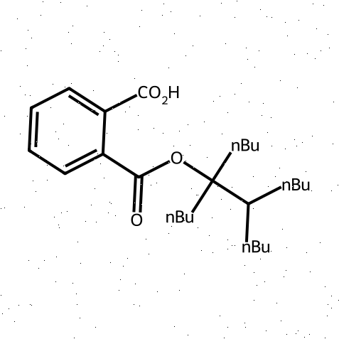 CCCCC(CCCC)C(CCCC)(CCCC)OC(=O)c1ccccc1C(=O)O